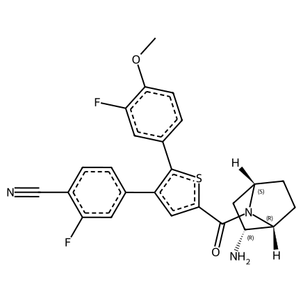 COc1ccc(-c2sc(C(=O)N3[C@H]4CC[C@@H]3[C@H](N)C4)cc2-c2ccc(C#N)c(F)c2)cc1F